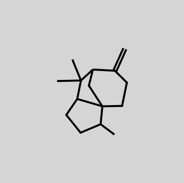 C=C1CCC23CC1C(C)(C)C2CCC3C